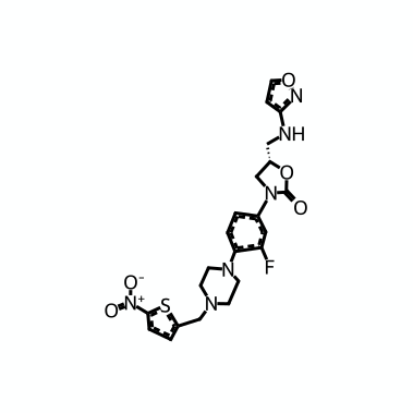 O=C1O[C@@H](CNc2ccon2)CN1c1ccc(N2CCN(Cc3ccc([N+](=O)[O-])s3)CC2)c(F)c1